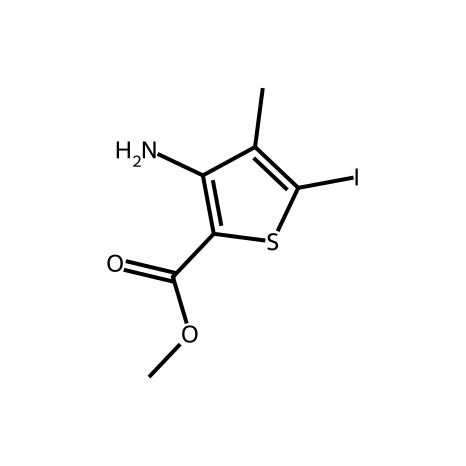 COC(=O)c1sc(I)c(C)c1N